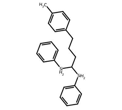 Cc1ccc(CCCC([SiH2]c2ccccc2)[SiH2]c2ccccc2)cc1